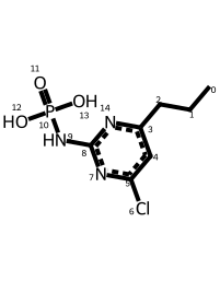 CCCc1cc(Cl)nc(NP(=O)(O)O)n1